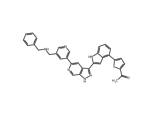 CC(=O)c1ccc(-c2cccc3[nH]c(-c4n[nH]c5cnc(-c6cncc(CNCc7ccccc7)c6)cc45)cc23)s1